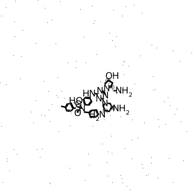 Cc1ccc(S(=O)(=O)N(Cc2ccccc2)c2ccc(Nc3nc(N4C[C@H](N)C[C@H](N)C4)nc(N4C[C@H](O)C[C@@H]4CN)n3)cc2O)cc1